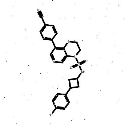 N#Cc1ccc(-c2cncc3c2SCCN3S(=O)(=O)NC2CC(c3ccc(F)cc3)C2)cc1